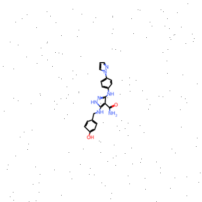 NC(=O)c1c(Nc2ccc(-n3cccn3)cc2)n[nH]c1NCc1ccc(O)cc1